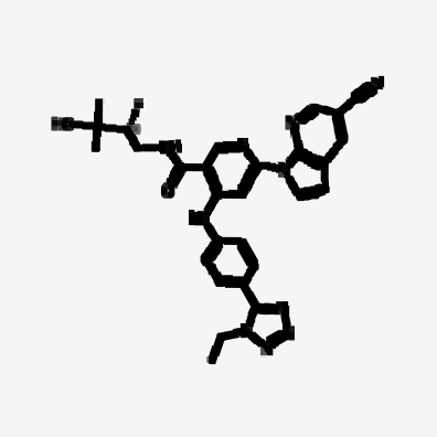 CCn1nnnc1-c1ccc(Nc2cc(-n3ccc4cc(C#N)cnc43)ncc2C(=O)NC[C@@H](F)C(C)(C)O)cc1